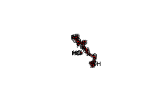 CN(CCN1CCC(N(C(=O)O)c2ccccc2-c2ccccc2)CC1)C(=O)CCCCCCN(C)c1ccc(C(=O)N(C)CCCN(C)C(=O)CO[C@H]2Cc3ccccc3C23CCN(CC[C@]2(c4ccc(F)cc4)CN(C(=O)c4cc(C(F)(F)F)cc(C(F)(F)F)c4)CO2)CC3)cc1.Cl.Cl.Cl